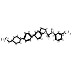 CCC1CCC(c2ccc(-c3ccc4c(c3)CCN4C(=O)Nc3cccc(C)c3)cc2)CC1